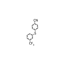 N#Cc1ccc(Sc2cccc(C(F)(F)F)c2)cc1